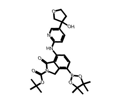 CC(C)(C)OC(=O)N1Cc2c(B3OC(C)(C)C(C)(C)O3)ccc(Nc3ccc(C4(O)CCOC4)cn3)c2C1=O